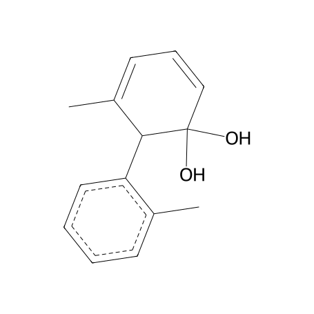 CC1=CC=CC(O)(O)C1c1ccccc1C